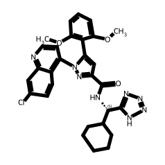 COc1cccc(OC)c1-c1cc(C(=O)N[C@H](c2nnn[nH]2)C2CCCCC2)nn1-c1ccnc2cc(Cl)ccc12